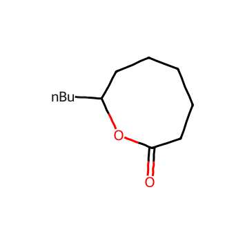 CCCCC1CCCCCC(=O)O1